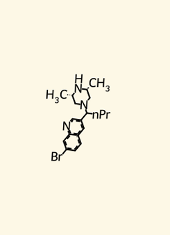 CCCC(c1cnc2cc(Br)ccc2c1)N1C[C@@H](C)N[C@@H](C)C1